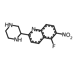 O=[N+]([O-])c1ccc2nc(C3CNCCN3)ccc2c1F